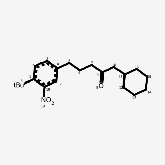 CC(C)(C)c1ccc(CCCC(=O)CC2CCCCC2)cc1[N+](=O)[O-]